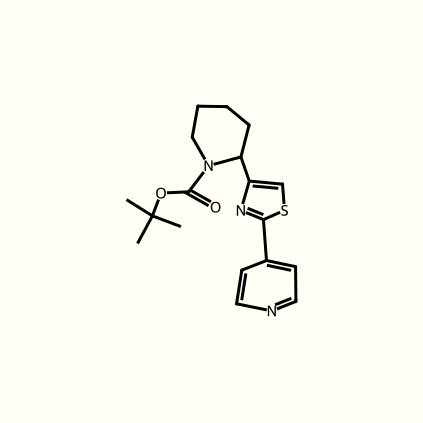 CC(C)(C)OC(=O)N1CCCCC1c1csc(-c2ccncc2)n1